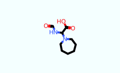 O=CNC(C(=O)O)N1CCCCCC1